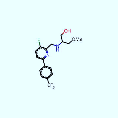 COCC(CO)NCc1nc(-c2ccc(C(F)(F)F)cc2)ccc1F